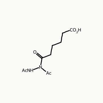 CC(=O)NN(C(C)=O)C(=O)CCCCC(=O)O